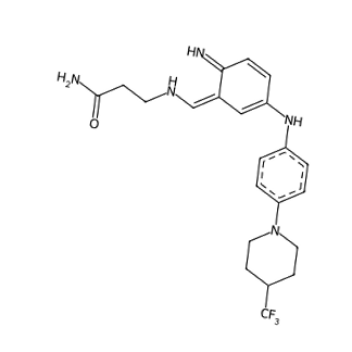 N=C1C=CC(Nc2ccc(N3CCC(C(F)(F)F)CC3)cc2)=C/C1=C/NCCC(N)=O